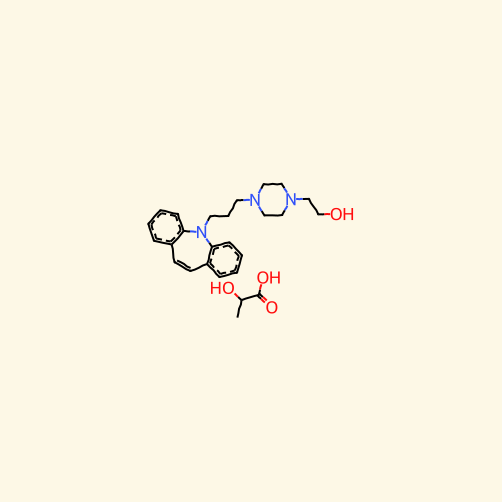 CC(O)C(=O)O.OCCN1CCN(CCCN2c3ccccc3C=Cc3ccccc32)CC1